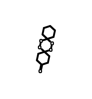 O=C1CCC2(CC1)OOC1(CCCCC1)OO2